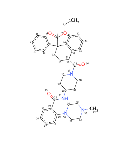 CCOC(=O)C1(c2ccccc2)CC[C@@H](C(=O)N2CCC(NC(=O)c3ccccc3N3CCN(C)CC3)CC2)c2ccccc21